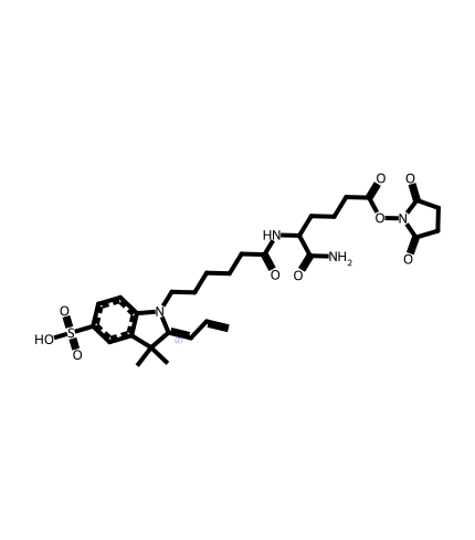 C=C/C=C1\N(CCCCCC(=O)NC(CCCC(=O)ON2C(=O)CCC2=O)C(N)=O)c2ccc(S(=O)(=O)O)cc2C1(C)C